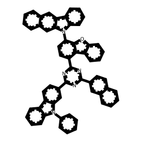 c1ccc(-n2c3ccccc3c3ccc(-c4nc(-c5ccc6ccccc6c5)nc(-c5ccc(-n6c7ccccc7c7cc8ccccc8cc76)c6oc7ccccc7c56)n4)cc32)cc1